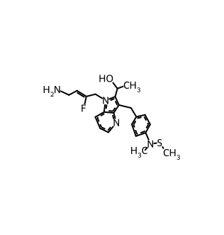 CSN(C)c1ccc(Cc2c(C(C)O)n(C/C(F)=C/CN)c3cccnc23)cc1